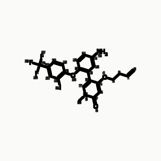 C=CCCOc1cc(=O)n(C)cc1-c1cc(N)ccc1Oc1ccc(C(F)(F)F)cc1I